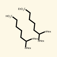 CCCCCCC(CCCCCC)CCCCC(=O)O.CCCCCCC(CCCCCC)CCCCC(=O)OCC